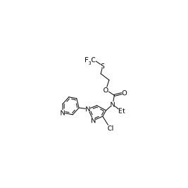 CCN(C(=O)OCCSC(F)(F)F)c1cn(-c2cccnc2)nc1Cl